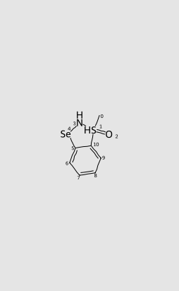 C[SH]1(=O)N[Se]c2ccccc21